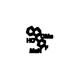 CNc1cc(C(O)c2c(OC)ccc3ccccc23)ccc1F